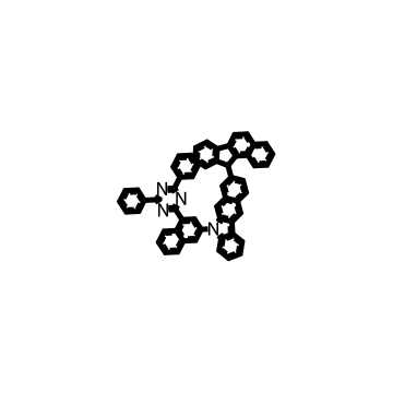 c1ccc(-c2nc(-c3ccccc3)nc(-c3cc(-n4c5ccccc5c5cc6ccc(C7c8ccccc8-c8ccc9ccccc9c87)cc6cc54)cc4ccccc34)n2)cc1